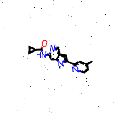 Cc1ccnc(-c2cc3cnc(NC(=O)C4CC4)cc3n2C)c1